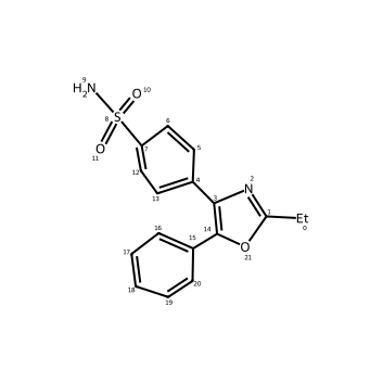 CCc1nc(-c2ccc(S(N)(=O)=O)cc2)c(-c2ccccc2)o1